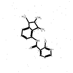 CC1c2cccc(NC(=O)c3cccnc3Cl)c2C(C)C1C